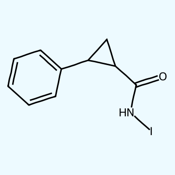 O=C(NI)C1CC1c1ccccc1